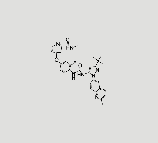 CNC(=O)c1cc(Oc2ccc(NC(=O)Nc3cc(C(C)(C)C)nn3-c3ccc4nc(C)ccc4c3)c(F)c2)ccn1